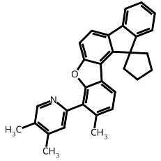 Cc1cnc(-c2c(C)ccc3c2oc2ccc4c(c23)C2(CCCC2)c2ccccc2-4)cc1C